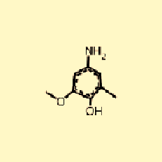 COc1cc(N)cc(C)c1O